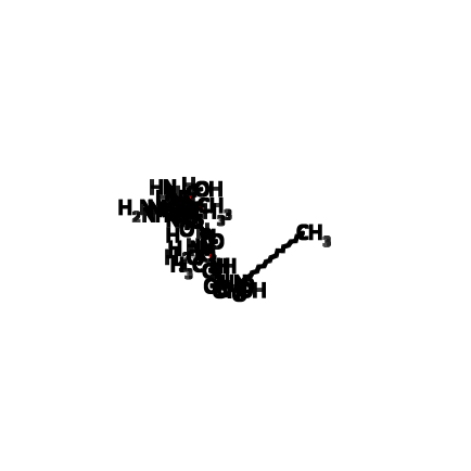 CCCCCCCCCCCCCCCCCCCC(=O)N[C@@H](CCC(=O)N[C@@H](CCC(=O)NCCCC[C@H](NC(=O)[C@@H](N)[C@@H](C)CC)C(=O)N1CCN(c2ccc3ncn(CC(=O)N[C@@H](CCCNC(=N)N)C(=O)N[C@@H](Cc4c[nH]cn4)C(=O)N[C@@H](Cc4ccc(O)cc4)C(=O)N[C@@H](CC(C)C)C(=O)NC)c(=O)c3c2)CC1)C(=O)O)C(=O)O